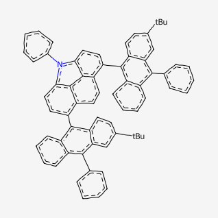 CC(C)(C)c1ccc2c(-c3ccc4c5c3ccc3c(-c6c7ccccc7c(-c7ccccc7)c7cc(C(C)(C)C)ccc67)ccc(c35)n4-c3ccccc3)c3ccccc3c(-c3ccccc3)c2c1